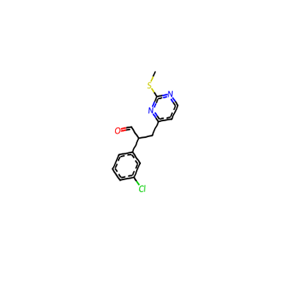 CSc1nccc(CC(C=O)c2cccc(Cl)c2)n1